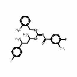 Cc1cc(C(=O)/N=C(/NCc2ccccc2C)NC(N)CC(N)c2ccc(F)cc2)ccc1F